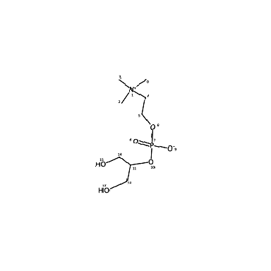 C[N+](C)(C)CCOP(=O)([O-])OC(CO)CO